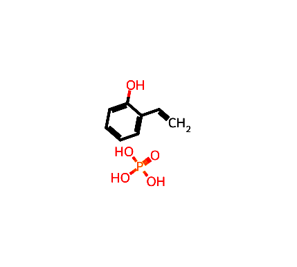 C=Cc1ccccc1O.O=P(O)(O)O